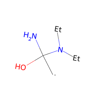 [CH2]C(N)(O)N(CC)CC